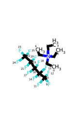 CC[N+](CC)(CC)CC.FC(F)(F)C(F)(F)C(F)(F)C(F)(F)C(F)(F)F